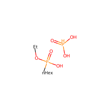 CCCCCCP(=O)(O)OCC.O=[PH](O)O